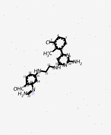 Cc1c(Cl)cccc1-c1cc(NCCNc2ccc(C=O)c(/N=C\N)c2)nc(N)n1